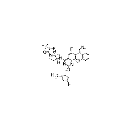 C=C(F)C(=O)N1CC[C@@H]2[C@H]1CN2c1nc(OC[C@@H]2C[C@@H](F)CN2C)nc2cc(-c3cncc4cccc(Cl)c34)c(F)cc12